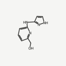 OCc1cccc(Nc2cc[nH]n2)n1